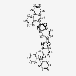 c1ccc(N(c2ccccc2)c2ccc3oc(-c4ccc5oc(-c6cc7ccccc7c7ccccc67)nc5c4)nc3c2)cc1